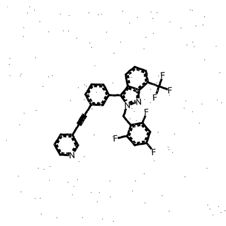 Fc1cc(F)c(Cn2nc3c(C(F)(F)F)cccc3c2-c2cccc(C#Cc3cccnc3)c2)c(F)c1